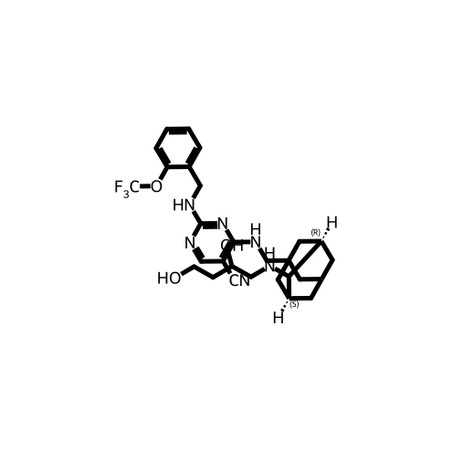 N#Cc1cnc(NCc2ccccc2OC(F)(F)F)nc1NCC12CC3C[C@H](C1)C(NCC(O)CCO)[C@@H](C3)C2